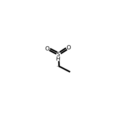 C[CH][SH](=O)=O